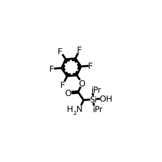 CC(C)[Si](O)(C(C)C)C(N)C(=O)Oc1c(F)c(F)c(F)c(F)c1F